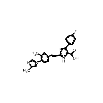 Cc1cn(-c2ccc(/C=C/c3nc(-c4ccc(F)cc4)c(C(=O)O)[nH]3)cc2C)cn1